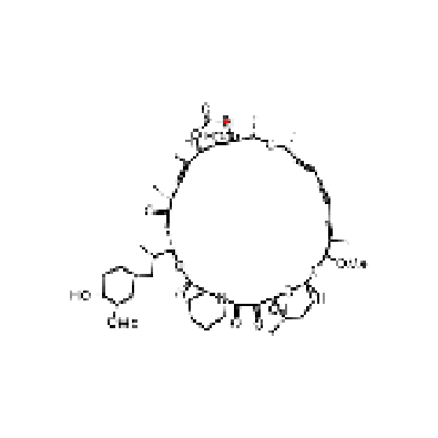 CO[C@H]1[C@H]2OC(=O)O[C@@H]1/C(C)=C/[C@@H](C)C(=O)C[C@@H]([C@H](C)C[C@@H]1CC[C@@H](O)[C@H](OC)C1)OC(=O)C1CCCCN1C(=O)C(=O)[C@]1(O)O[C@@H](CC[C@H]1C)C[C@H](OC)/C(C)=C/C=C/C=C/[C@@H](C)C[C@H]2C